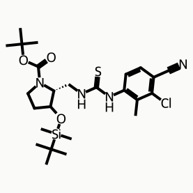 Cc1c(NC(=S)NC[C@@H]2C(O[Si](C)(C)C(C)(C)C)CCN2C(=O)OC(C)(C)C)ccc(C#N)c1Cl